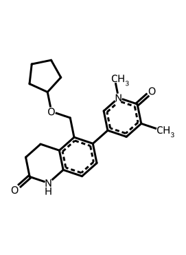 Cc1cc(-c2ccc3c(c2COC2CCCC2)CCC(=O)N3)cn(C)c1=O